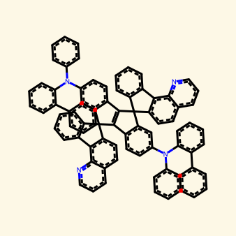 c1ccc(-c2ccccc2N(c2ccccc2)c2ccc3c(c2)C2(C4=C3C3(c5cc(N(c6ccccc6)c6ccccc6-c6ccccc6)ccc54)c4ccccc4-c4c3ccc3cccnc43)c3ccccc3-c3c2ccc2cccnc32)cc1